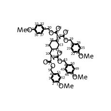 COc1ccc(COC(=O)N(CC2CCC(N(C(=O)OCc3ccc(OC)cc3)C(=O)OCc3ccc(OC)cc3)CC2)C(=O)OCc2ccc(OC)cc2)cc1